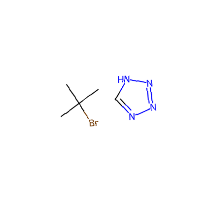 CC(C)(C)Br.c1nnn[nH]1